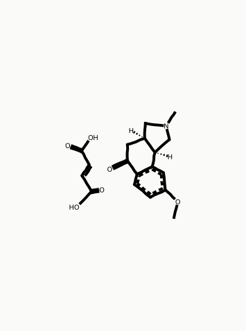 COc1ccc2c(c1)[C@@H]1CN(C)C[C@@H]1CC2=O.O=C(O)/C=C/C(=O)O